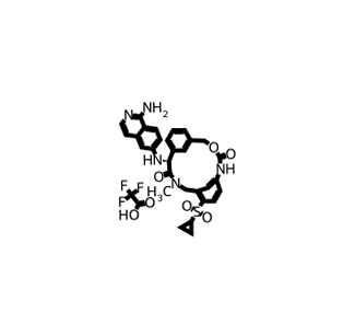 CN1Cc2cc(ccc2S(=O)(=O)C2CC2)NC(=O)OCc2cccc(c2)[C@@H](Nc2ccc3c(N)nccc3c2)C1=O.O=C(O)C(F)(F)F